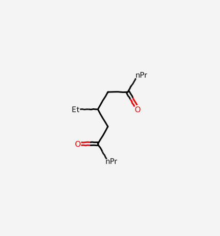 CCCC(=O)CC(CC)CC(=O)CCC